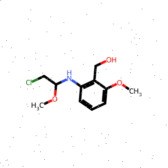 COc1cccc(NC(CCl)OC)c1CO